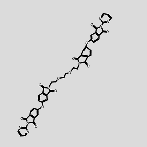 O=C1c2ccc(Oc3ccc4c(c3)C(=O)N(c3ncccn3)C4=O)cc2C(=O)N1CCOCCOCCN1C(=O)c2ccc(Oc3ccc4c(c3)C(=O)N(c3ncccn3)C4=O)cc2C1=O